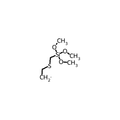 [CH2]CSC[Si](OC)(OC)OC